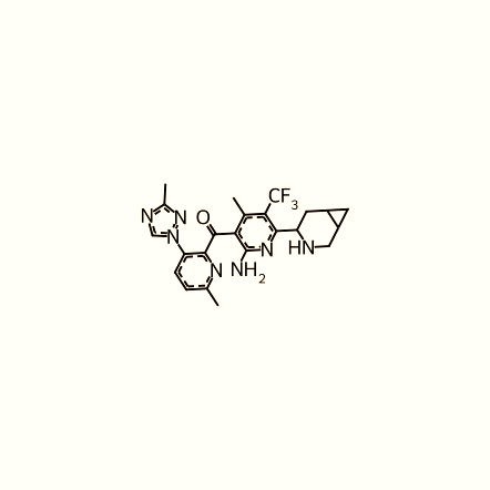 Cc1ccc(-n2cnc(C)n2)c(C(=O)c2c(N)nc(C3CC4CC4CN3)c(C(F)(F)F)c2C)n1